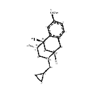 COc1ccc2c(c1)[C@@H]1C[C@H](C2)N(CC2CC2)C[C@@H]1C